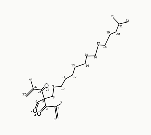 C=C(C)C(=O)C([C]=O)(CCCCCCCCCCCCCC(C)C)C(=O)C(=C)C